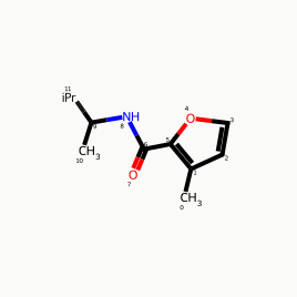 Cc1ccoc1C(=O)NC(C)C(C)C